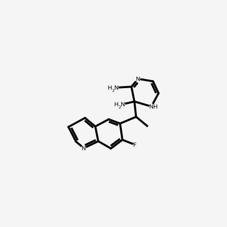 CC(c1cc2cccnc2cc1F)C1(N)NC=CN=C1N